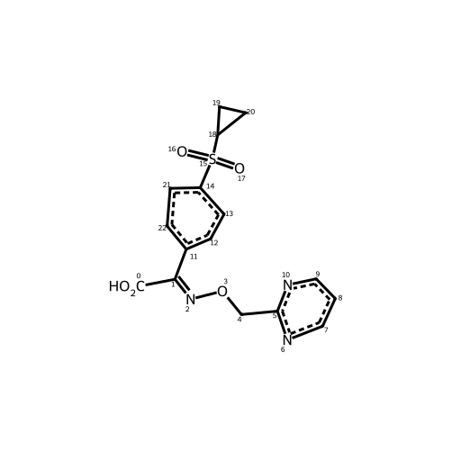 O=C(O)/C(=N/OCc1ncccn1)c1ccc(S(=O)(=O)C2CC2)cc1